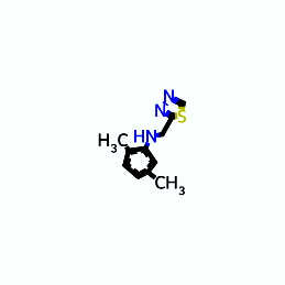 Cc1ccc(C)c(NCc2nncs2)c1